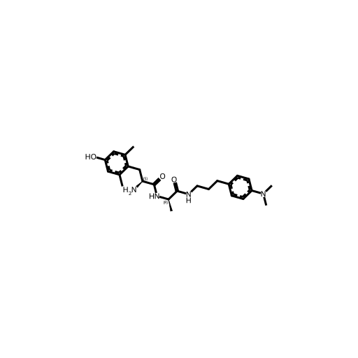 Cc1cc(O)cc(C)c1C[C@H](N)C(=O)N[C@H](C)C(=O)NCCCc1ccc(N(C)C)cc1